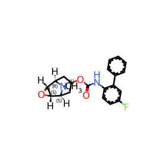 CN1[C@@H]2C[C@@H](OC(=O)Nc3ccc(F)cc3-c3ccccc3)C[C@H]1[C@@H]1O[C@@H]12